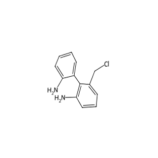 Nc1ccccc1-c1c(N)cccc1CCl